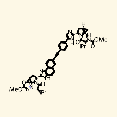 COC(=O)/N=N\[C@@]12CC1C[C@@H](c1nc3c(ccc4cc(C#Cc5ccc(-c6cnc([C@@H]7C[C@H]8C[C@H]8N7C(=O)[C@@H](NC(=O)OC)C(C)C)[nH]6)cc5)ccc43)[nH]1)N2C(=O)CC(C)C